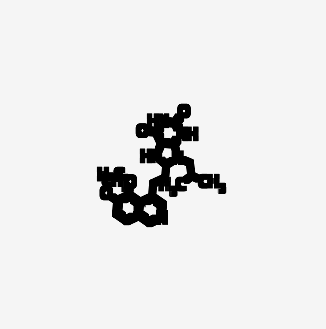 COc1ccc2cncc(CCC3Nc4c([nH]c(=O)[nH]c4=O)N3CC(C)C)c2c1OC